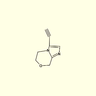 C#Cc1cnc2n1CCOC2